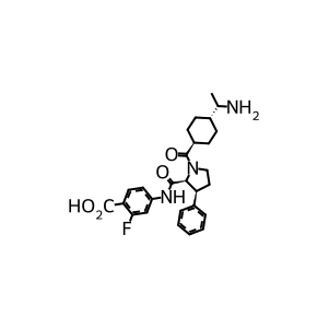 CC(N)[C@H]1CC[C@H](C(=O)N2CC[C@@H](c3ccccc3)[C@H]2C(=O)Nc2ccc(C(=O)O)c(F)c2)CC1